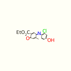 CCOC(=O)C1=CC(=Nc2ccc(O)cc2Cl)C(C)=CC1=O